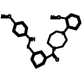 COc1ccc(NSc2cccc(C(=O)N3CCCN(c4ccccc4OC)CC3)c2)cc1